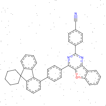 N#Cc1ccc(-c2nc(-c3ccc(-c4cccc5c4-c4ccccc4C54CCCCC4)cc3)c3oc4ccccc4c3n2)cc1